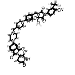 CC1(C)C(=O)N(c2ccc(C#N)c(C(F)(I)I)c2)C(=S)N1Cc1ccc(N2CCC(CN3CCN(c4ccc5c(c4)C(=O)N(C4CCC(=O)NC4=O)C5=O)CC3)CC2)nc1